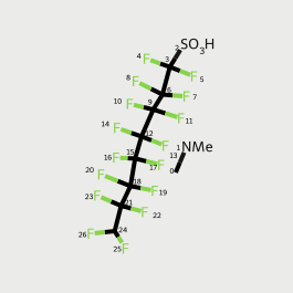 CNC.O=S(=O)(O)C(F)(F)C(F)(F)C(F)(F)C(F)(F)C(F)(F)C(F)(F)C(F)(F)C(F)F